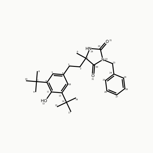 CC1(CCc2cc(C(C)(C)C)c(O)c(C(C)(C)C)c2)NC(=O)N(Cc2ccccc2)C1=O